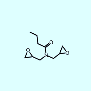 CCCC(=O)N(CC1CO1)CC1CO1